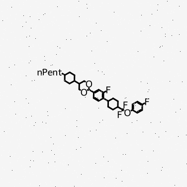 CCCCCC1CCC(C2COC(c3ccc(C4CCC(C(F)(F)Oc5ccc(F)cc5)CC4)c(F)c3)OC2)CC1